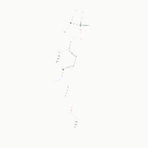 C=CCOCCN(C)c1ccc(B2CC(C)(C)C(C)(C)O2)cc1